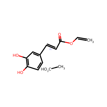 C=COC(=O)/C=C/c1ccc(O)c(O)c1.CC(=O)O